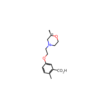 Cc1ccc(OCCN2CCO[C@H](C)C2)cc1C(=O)O